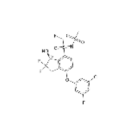 CS(=O)(=O)N=S(=O)(CF)c1ccc(Oc2cc(F)cc(Cl)c2)c2c1[C@H](O)C(F)(F)C2